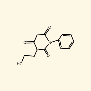 O=C1CC(=O)N(c2ccccc2)C(=O)N1CCO